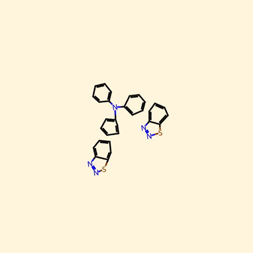 c1ccc(N(c2ccccc2)c2ccccc2)cc1.c1ccc2snnc2c1.c1ccc2snnc2c1